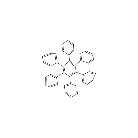 c1ccc(-c2c(-c3ccccc3)c(-c3ccccc3)c3c4ccccc4c4ccccc4c3c2-c2ccccc2)cc1